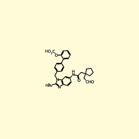 CCCCc1nc2ccc(NC(=O)CC3(CC=O)CCCC3)cc2n1Cc1ccc(-c2ccccc2OC(=O)O)cc1